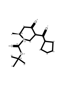 C[C@H]1CC(=O)C(C(=O)C2CCCC2)CN1C(=O)OC(C)(C)C